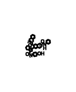 C[C@@H]1Cc2ccccc2CN1C(=O)c1cc2c(cc1-c1cc(C(=O)N(C)c3ccc(O)cc3)c3n1CCCC3)CCN(C(=O)Nc1ccccc1)C2